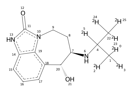 [2H]C([2H])([2H])C([2H])(N[C@@H]1CCn2c(=O)[nH]c3cccc(c32)[C@H]1O)C([2H])([2H])[2H]